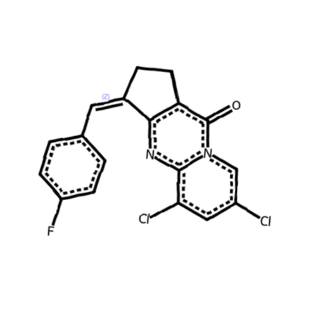 O=c1c2c(nc3c(Cl)cc(Cl)cn13)/C(=C\c1ccc(F)cc1)CC2